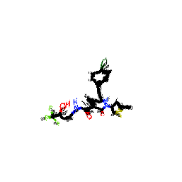 Cc1cc(-n2nc(-c3ccc(Cl)cc3)cc(C(=O)NCC(O)C(F)(F)F)c2=O)cs1